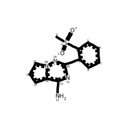 CS(=O)(=O)c1ccccc1-c1nc(N)c2cccn2n1